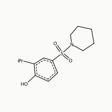 CC(C)c1cc(S(=O)(=O)N2CCCCC2)ccc1O